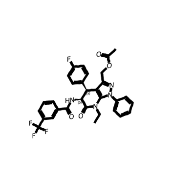 CCN1C(=O)[C@@H](NC(=O)c2cccc(C(F)(F)F)c2)[C@@H](c2ccc(F)cc2)c2c(COC(C)=O)nn(-c3ccccc3)c21